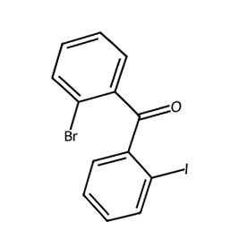 O=C(c1ccccc1Br)c1ccccc1I